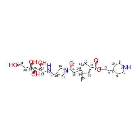 O=C(OCCC1CCNCC1)c1ccc(CC(=O)N2CC(CNC[C@H](O)[C@@H](O)[C@H](O)CCO)C2)c(F)c1